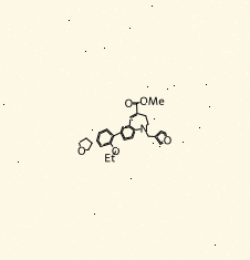 C1CCOC1.CCOc1ccccc1-c1ccc2c(c1)C=C(C(=O)OC)CCN2Cc1ccoc1